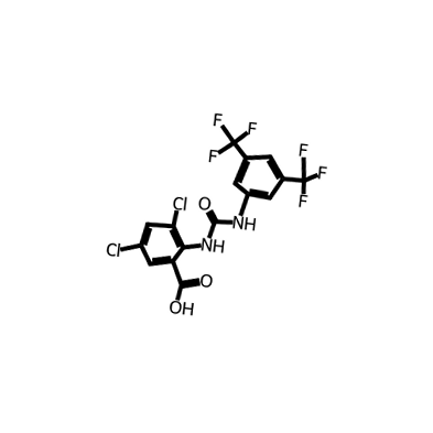 O=C(Nc1cc(C(F)(F)F)cc(C(F)(F)F)c1)Nc1c(Cl)cc(Cl)cc1C(=O)O